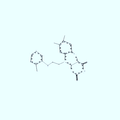 Cc1cc2nc3c(=O)[nH]c(=O)nc-3n(CCCc3ccccc3C)c2cc1C